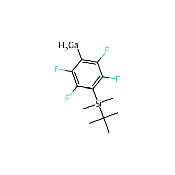 CC(C)(C)[Si](C)(C)c1c(F)c(F)[c]([GaH2])c(F)c1F